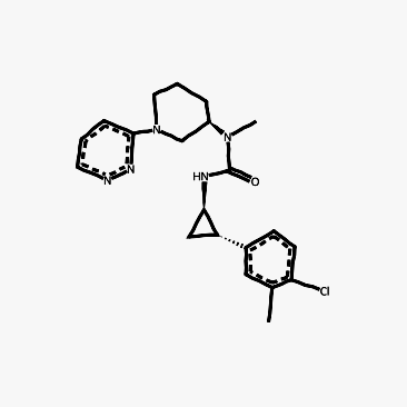 Cc1cc([C@@H]2C[C@H]2NC(=O)N(C)[C@@H]2CCCN(c3cccnn3)C2)ccc1Cl